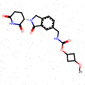 CC(C)OC1CC(OC(=O)NCc2ccc3c(c2)C(=O)N([C@H]2CCC(=O)NC2=O)C3)C1